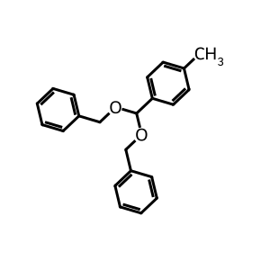 Cc1ccc(C(OCc2ccccc2)OCc2ccccc2)cc1